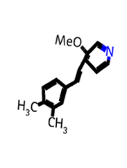 COc1cnccc1C=Cc1ccc(C)c(C)c1